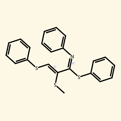 CSC(=C\Sc1ccccc1)/C(=N\c1ccccc1)Sc1ccccc1